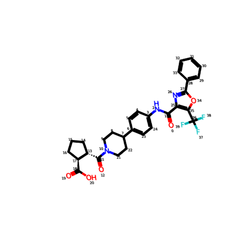 O=C(Nc1ccc(C2CCN(C(=O)[C@H]3CCC[C@@H]3C(=O)O)CC2)cc1)c1nc(-c2ccccc2)oc1C(F)(F)F